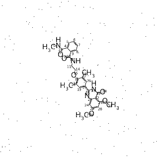 CNC(=O)c1ccccc1C(=O)NCCOc1c(C)cc(-c2nc3cc(OC)cc(OC)c3c(=O)[nH]2)cc1C